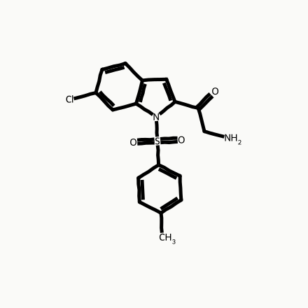 Cc1ccc(S(=O)(=O)n2c(C(=O)CN)cc3ccc(Cl)cc32)cc1